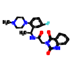 CC(NC(=O)Cn1c(=O)[nH]c2ccccc2c1=O)c1cc(F)ccc1N1CCN(C)CC1